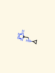 C(NC1CC1)c1nnn[nH]1